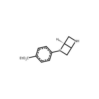 CCOC(=O)c1ccc(N2CC3NC[C@@H]32)cc1